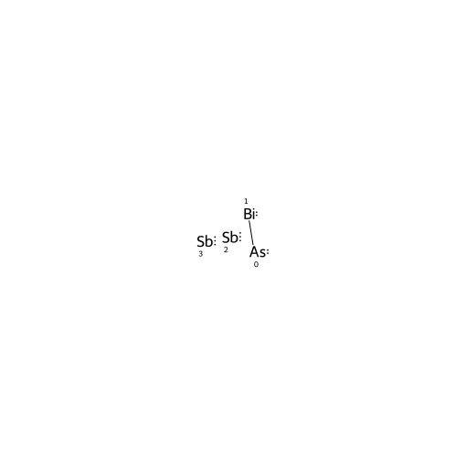 [As][Bi].[Sb].[Sb]